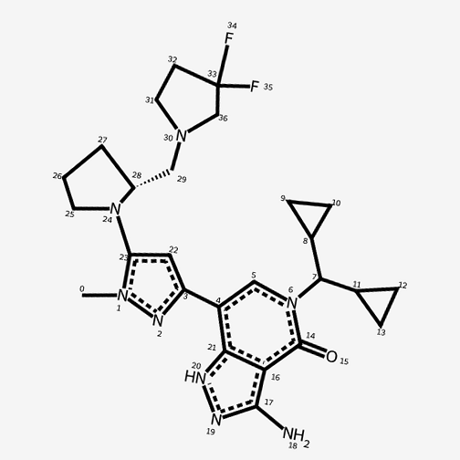 Cn1nc(-c2cn(C(C3CC3)C3CC3)c(=O)c3c(N)n[nH]c23)cc1N1CCC[C@@H]1CN1CCC(F)(F)C1